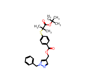 CC(C)(C)OC(=O)C(C)(C)Sc1ccc(C(=O)OCc2cnn(Cc3ccccc3)c2)cc1